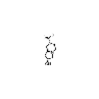 O=C(O)N1CCN2CC(O)CC2C1